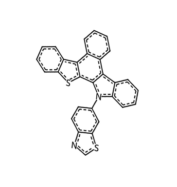 c1ccc2c(c1)sc1c2c2ccccc2c2c3ccccc3n(-c3ccc4ncsc4c3)c12